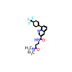 CN(C)C(=O)CCNC(=O)c1cnc2c(C3=CCC(C(F)(F)F)CC3)cccc2c1